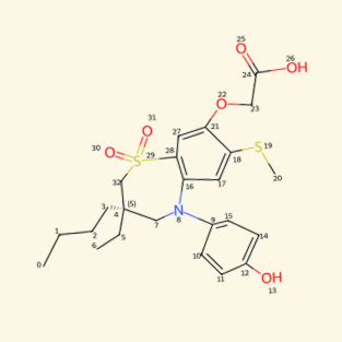 CCCC[C@@]1(CC)CN(c2ccc(O)cc2)c2cc(SC)c(OCC(=O)O)cc2S(=O)(=O)C1